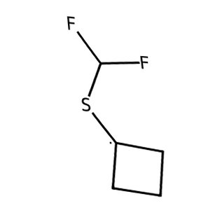 FC(F)S[C]1CCC1